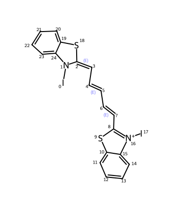 IN1\C(=C/C=C/C=C/c2sc3ccccc3[n+]2I)Sc2ccccc21